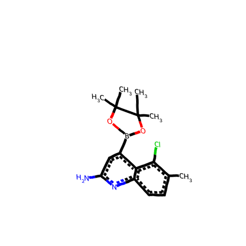 Cc1ccc2nc(N)cc(B3OC(C)(C)C(C)(C)O3)c2c1Cl